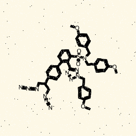 COc1ccc(CN(Cc2ccc(OC)cc2)S(=O)(=O)c2cccc(-c3ccc(C(CN=[N+]=[N-])CN=[N+]=[N-])cc3)c2-c2nnn(Cc3ccc(OC)cc3)n2)cc1